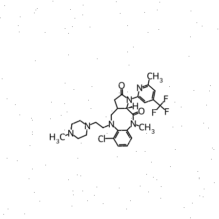 Cc1cc(C(F)(F)F)cc(N2C(=O)CC3CN(CCN4CCN(C)CC4)c4c(Cl)cccc4N(C)C(=O)[C@H]32)n1